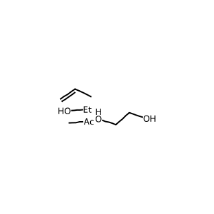 C=CC.CC(C)=O.CCO.OCCO